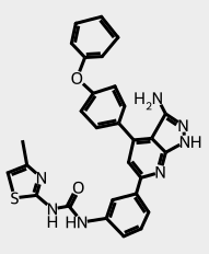 Cc1csc(NC(=O)Nc2cccc(-c3cc(-c4ccc(Oc5ccccc5)cc4)c4c(N)n[nH]c4n3)c2)n1